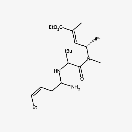 CC/C=C\CC(N)NC(C(=O)N(C)[C@H](/C=C(\C)C(=O)OCC)C(C)C)C(C)(C)C